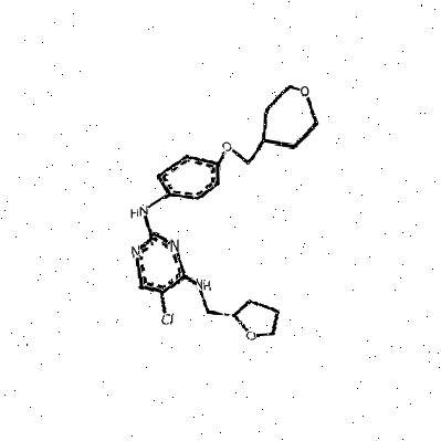 Clc1cnc(Nc2ccc(OCC3CCOCC3)cc2)nc1NC[C@H]1CCCO1